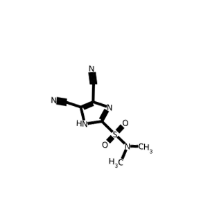 CN(C)S(=O)(=O)c1nc(C#N)c(C#N)[nH]1